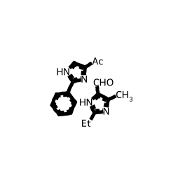 CC(=O)c1c[nH]c(-c2ccccc2)n1.CCc1nc(C)c(C=O)[nH]1